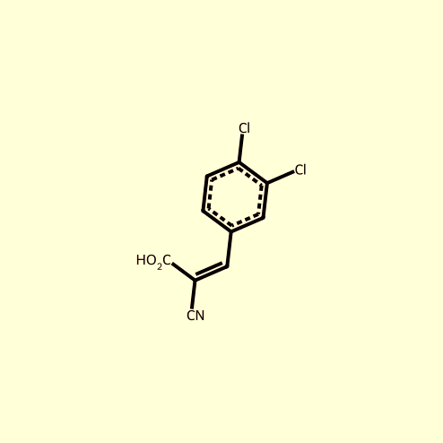 N#CC(=Cc1ccc(Cl)c(Cl)c1)C(=O)O